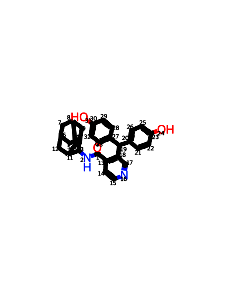 O=C(NC1C2CC3CC(C2)CC1C3)c1ccncc1C(c1ccc(O)cc1)c1ccc(O)cc1